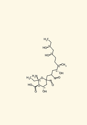 CC[C@H](O)C[C@H](O)CC[C@@H](C)[C@H](O)CC(CC1(N=O)C[C@H](O)[C@@H](C(=O)O)[C@](N)(CC)O1)N=O